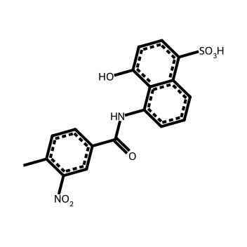 Cc1ccc(C(=O)Nc2cccc3c(S(=O)(=O)O)ccc(O)c23)cc1[N+](=O)[O-]